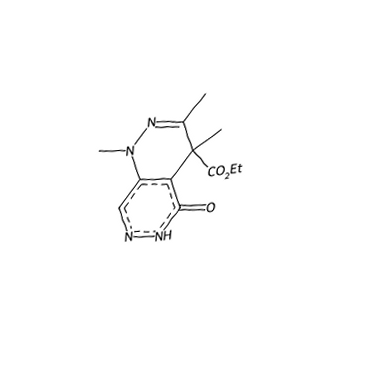 CCOC(=O)C1(C)C(C)=NN(C)c2cn[nH]c(=O)c21